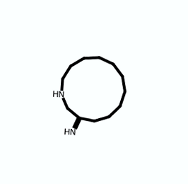 N=C1CCCCCCCCCCNC1